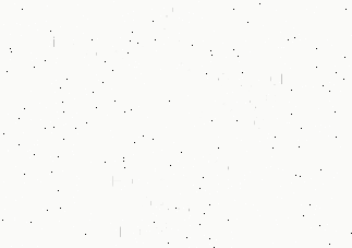 COc1ccc(C(=O)c2ccc(Oc3ccc(C(=O)c4ccc(C)c(S(=O)(=O)OC)c4)cc3S(=O)(=O)OC)cc2)cc1